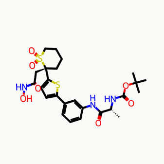 C[C@@H](NC(=O)OC(C)(C)C)C(=O)Nc1cccc(-c2ccc([C@@]3(CC(=O)NO)CCCCS3(=O)=O)s2)c1